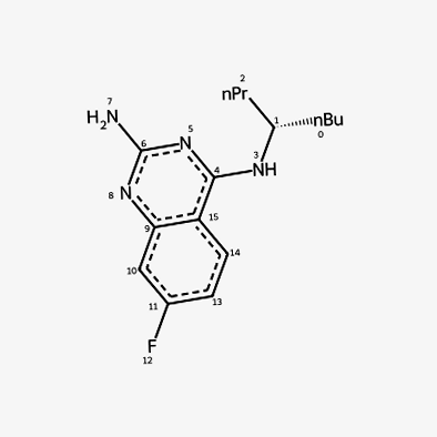 CCCC[C@@H](CCC)Nc1nc(N)nc2cc(F)ccc12